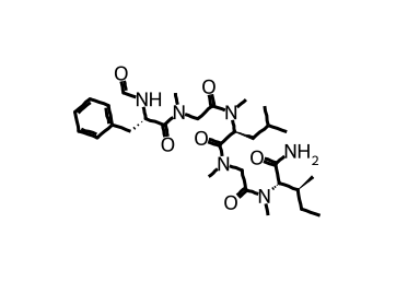 CC[C@H](C)[C@@H](C(N)=O)N(C)C(=O)CN(C)C(=O)[C@H](CC(C)C)N(C)C(=O)CN(C)C(=O)[C@H](Cc1ccccc1)NC=O